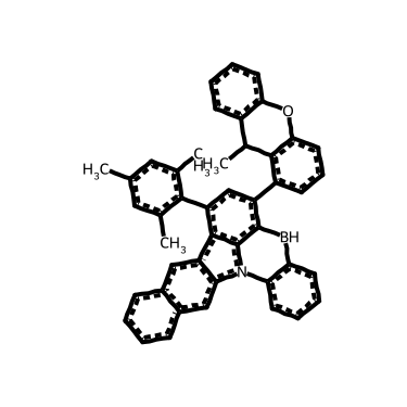 Cc1cc(C)c(-c2cc(-c3cccc4c3C(C)c3ccccc3O4)c3c4c2c2cc5ccccc5cc2n4-c2ccccc2B3)c(C)c1